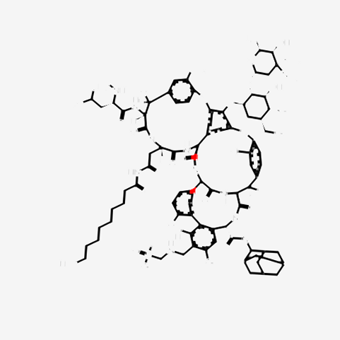 CCCCCCCCCC(=O)NC(=O)C[C@@H]1NC(=O)[C@H](NC(=O)[C@@H](CC(C)C)NC)[C@H](O)c2ccc(c(C)c2)Oc2cc3cc(c2O[C@@H]2C[C@H](CO)[C@@H](O)[C@H](O)[C@H]2O[C@H]2C[C@](C)(N)[C@H](O)[C@H](C)O2)Oc2ccc(cc2Cl)[C@@H](O)[C@@H]2NC(=O)[C@H](NC(=O)[C@@H]3NC1=O)c1ccc(O)c(c1)-c1c(cc(O)c(CNCP(=O)(O)O)c1O)[C@@H](C(=O)NC1C3CC4CC(C3)CC1C4)NC2=O